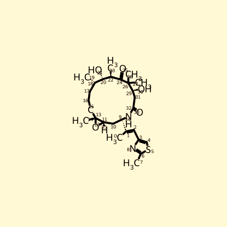 C/C(=C\c1csc(C)n1)[C@@H]1C[C@@H]2OC2(C)CCC[C@H](C)[C@H](O)[C@@H](C)C(=O)C(C)(C)[C@@H](O)CC(=O)N1